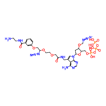 [N-]=[N+]=NCOC1CC(n2cc(CNC(=O)COCCOC(COc3cccc(C(=O)NCCN)c3)N=[N+]=[N-])c3c(N)ncnc32)OC1COP(=O)(O)OP(=O)(O)OP(=O)(O)O